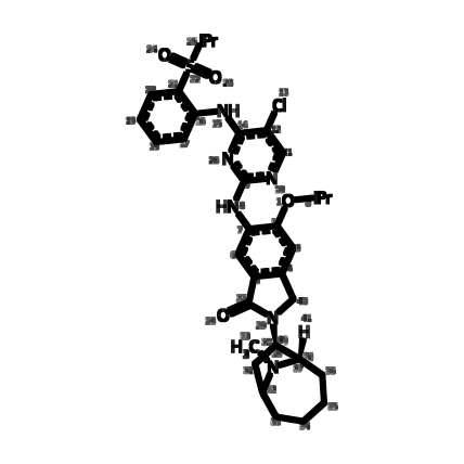 CC(C)Oc1cc2c(cc1Nc1ncc(Cl)c(Nc3ccccc3S(=O)(=O)C(C)C)n1)C(=O)N([C@@H]1CC3CCCC[C@@H]1N3C)C2